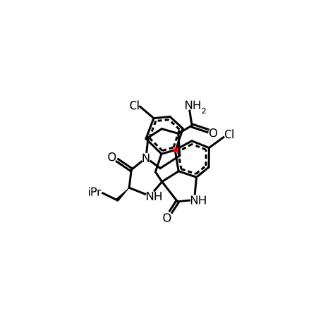 CC(C)C[C@H](NC1(Cc2cccc(Cl)c2)C(=O)Nc2cc(Cl)ccc21)C(=O)N1CCC(C(N)=O)CC1